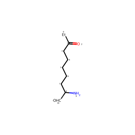 CCC(=O)CCCCCC(N)[C]=O